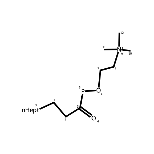 CCCCCCCCCC(=O)[P-]OCC[N+](C)(C)C